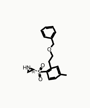 Cc1ccc(S(=O)(=O)[C@@H]2CN2)c(CCOCc2ccccc2)c1